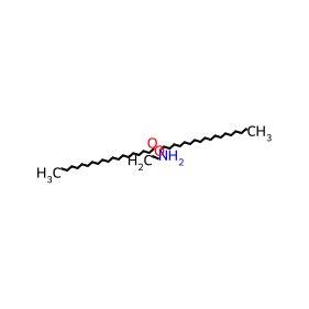 C=CCN.CCCCCCCCCCCCCCCCCCCC(=O)OCCCCCCCCCCCCCCCCCC